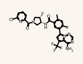 Cc1cc(F)c(-c2cc(C(F)(F)F)c3c(N)ncnn23)cc1C(=O)N[C@@H]1CN(C(=O)c2cccc(Cl)n2)C[C@@H]1F